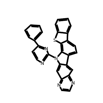 c1ccc(-c2ccnc(-n3c4cc5nccnc5cc4c4ccc5c6ccccc6sc5c43)n2)cc1